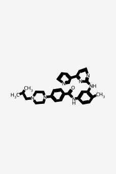 Cc1ccc(NC(=O)c2ccc(N3CCN(CC(C)C)CC3)cc2)cc1Nc1nccc(-c2cccnc2)n1